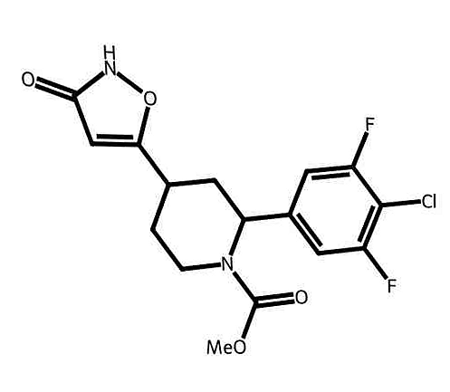 COC(=O)N1CCC(c2cc(=O)[nH]o2)CC1c1cc(F)c(Cl)c(F)c1